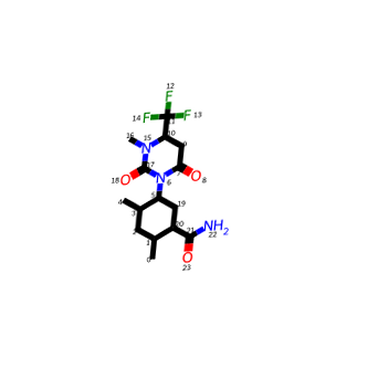 CC1CC(C)C(N2C(=O)CC(C(F)(F)F)N(C)C2=O)CC1C(N)=O